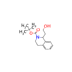 CC(C)(C)OC(=O)N1CCc2ccccc2C1CCO